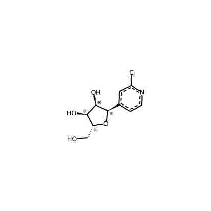 OC[C@H]1O[C@H](c2ccnc(Cl)c2)[C@H](O)[C@@H]1O